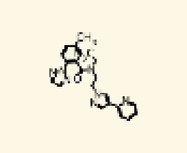 CCN(CCn1cc(-c2ccccn2)cn1)C(=O)c1cc(C)ccc1-n1nccn1